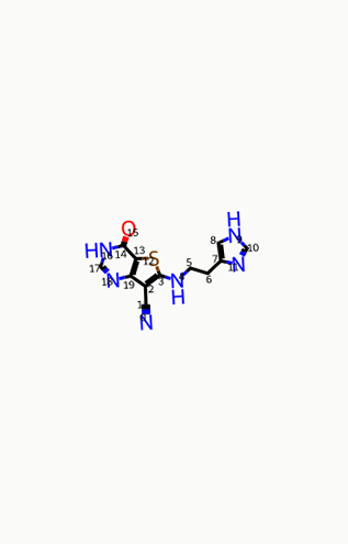 N#Cc1c(NCCc2c[nH]cn2)sc2c(=O)[nH]cnc12